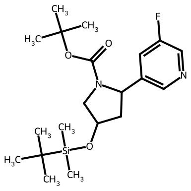 CC(C)(C)OC(=O)N1CC(O[Si](C)(C)C(C)(C)C)CC1c1cncc(F)c1